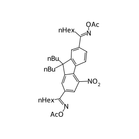 CCCCCC/C(=N\OC(C)=O)c1ccc2c(c1)C(CCCC)(CCCC)c1cc(/C(CCCCCC)=N/OC(C)=O)cc([N+](=O)[O-])c1-2